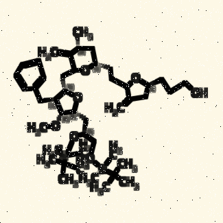 C=C1C[C@H](CCCO)OC1CC[C@H]1C[C@@H](C)C(=C)C(C[C@@H]2O[C@H](C[C@@H](CO[Si](C)(C)C(C)(C)C)O[Si](C)(C)C(C)(C)C)[C@H](OC)[C@H]2Cc2ccccc2)O1